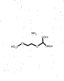 CCCCCCCCCC(CCCCCCCC)OCCOS(=O)(=O)O.N